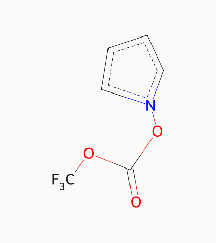 O=C(On1cccc1)OC(F)(F)F